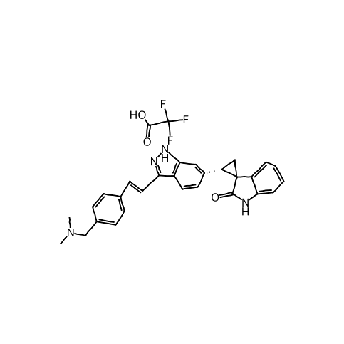 CN(C)Cc1ccc(/C=C/c2n[nH]c3cc([C@@H]4C[C@@]45C(=O)Nc4ccccc45)ccc23)cc1.O=C(O)C(F)(F)F